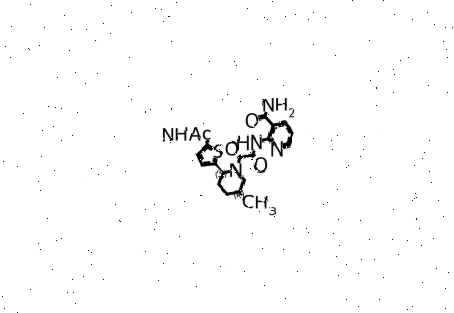 CC(=O)Nc1ccc([C@@H]2CC[C@@H](C)CN2C(=O)C(=O)Nc2ncccc2C(N)=O)s1